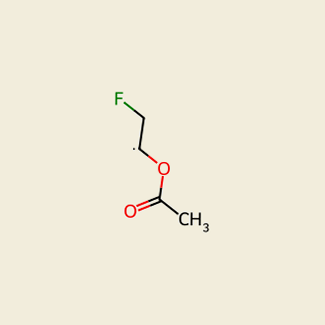 CC(=O)O[CH]CF